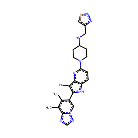 Cc1c(-c2[nH]c3ccc(N4CCC(NCc5csnn5)CC4)nc3c2C(C)C)cn2ncnc2c1C